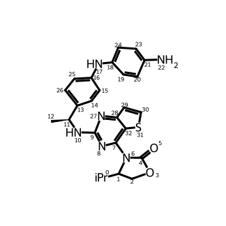 CC(C)C1COC(=O)N1c1nc(N[C@@H](C)c2ccc(Nc3ccc(N)cc3)cc2)nc2ccsc12